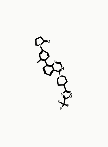 Cc1cc(N2CCCC2=O)ccc1-c1cccc2c(N3CCC(c4noc(C(F)(F)F)n4)CC3)ncnc12